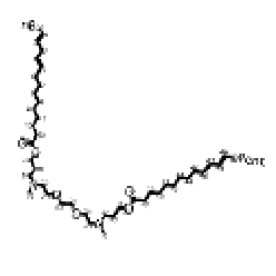 CCCC/C=C/C/C=C/CCCCCCCCC(=O)OCCCN(C)CCOCCOCCN(C)CCCOC(=O)CCCCCCC/C=C/C/C=C/CCCCC